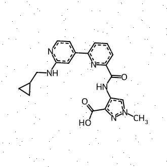 Cn1cc(NC(=O)c2cccc(-c3ccnc(NCC4CC4)c3)n2)c(C(=O)O)n1